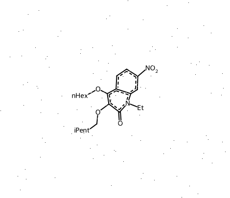 CCCCCCOc1c(OCC(C)CCC)c(=O)n(CC)c2cc([N+](=O)[O-])ccc12